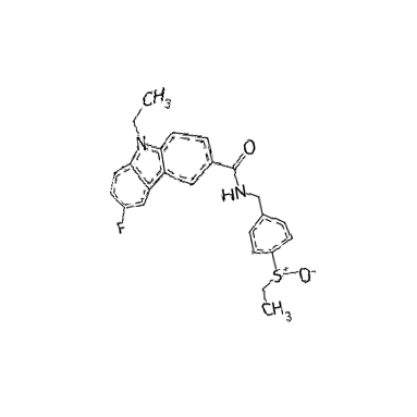 CCn1c2ccc(F)cc2c2cc(C(=O)NCc3ccc([S+]([O-])CC)cc3)ccc21